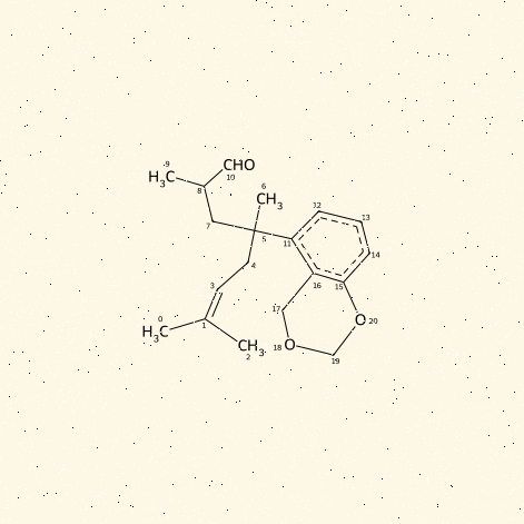 CC(C)=CCC(C)(CC(C)C=O)c1cccc2c1COCO2